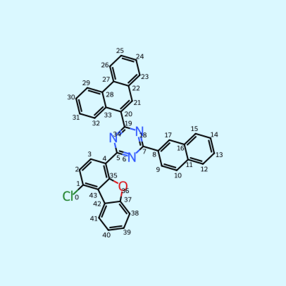 Clc1ccc(-c2nc(-c3ccc4ccccc4c3)nc(-c3cc4ccccc4c4ccccc34)n2)c2oc3ccccc3c12